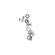 O=C1O[C@]2(CC[C@H](CNc3cc(C(F)(F)F)n(-c4ccccc4F)n3)CC2)CN1c1cccnn1